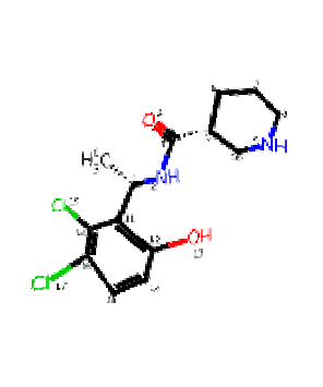 C[C@H](NC(=O)[C@@H]1CCCNC1)c1c(O)ccc(Cl)c1Cl